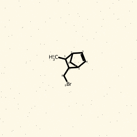 CC1C2C=CC(C2)C1CBr